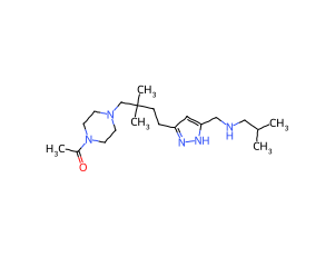 CC(=O)N1CCN(CC(C)(C)CCc2cc(CNCC(C)C)[nH]n2)CC1